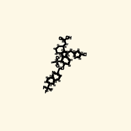 CS(=O)(=O)c1c(OCc2ccc3cc(C(F)(F)F)ccc3n2)ccc2c1c1c(n2Cc2cc(Cl)cs2)C(CC(=O)O)CCC1